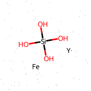 O[Si](O)(O)O.[Fe].[Y]